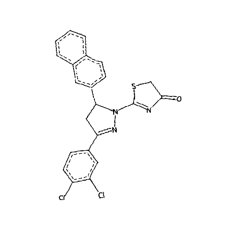 O=C1CSC(N2N=C(c3ccc(Cl)c(Cl)c3)CC2c2ccc3ccccc3c2)=N1